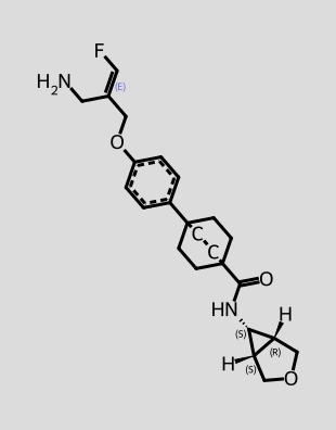 NC/C(=C\F)COc1ccc(C23CCC(C(=O)N[C@@H]4[C@@H]5COC[C@@H]54)(CC2)CC3)cc1